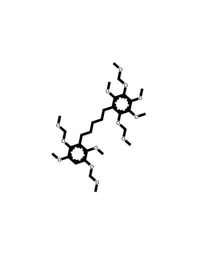 COCOc1cc(OC)c(OCOC)c(CCCCCc2c(OCOC)c(OC)c(OC)c(OCOC)c2OC)c1OC